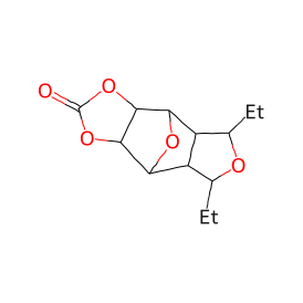 CCC1OC(CC)C2C3OC(C4OC(=O)OC43)C12